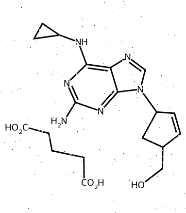 Nc1nc(NC2CC2)c2ncn(C3C=CC(CO)C3)c2n1.O=C(O)CCCC(=O)O